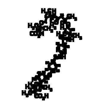 CC(C)(CCOC(C)(C)CC(=O)O)NC(=O)CC(C)(C)OCCC(C)(C)NC(=O)c1cnc(NSc2ccc(Oc3ccc(F)c(C(C)(C)CC(C)(C)C(=O)O)c3)cc2)nc1